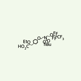 CCCCOC(=O)N(CCOc1ccc(CC(OCC)C(=O)O)cc1)CCOC(F)(F)C(F)(F)C(F)(F)F